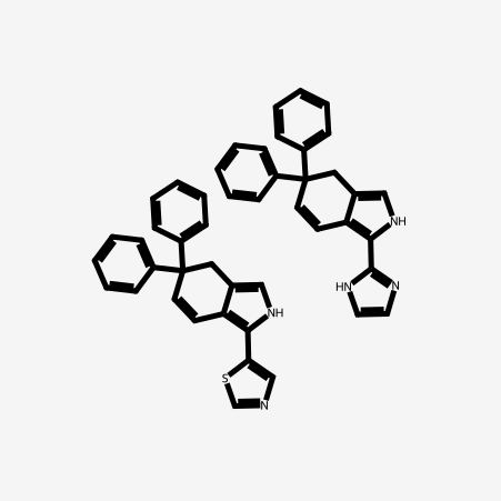 C1=CC(c2ccccc2)(c2ccccc2)Cc2c[nH]c(-c3cncs3)c21.C1=CC(c2ccccc2)(c2ccccc2)Cc2c[nH]c(-c3ncc[nH]3)c21